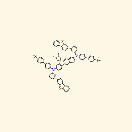 CCCC1(CCC)c2cc(N(c3ccc(-c4ccc(C(C)(C)C)cc4)cc3)c3cccc(-c4ccc5c(c4)sc4ccccc45)c3)ccc2-c2cc3ccc(N(c4ccc(-c5ccc(C(C)(C)C)cc5)cc4)c4cccc(-c5ccc6c(c5)sc5ccccc56)c4)cc3cc21